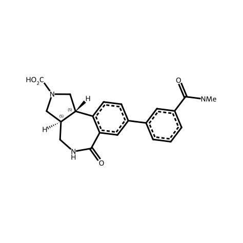 CNC(=O)c1cccc(-c2ccc3c(c2)C(=O)NC[C@H]2CN(C(=O)O)C[C@H]32)c1